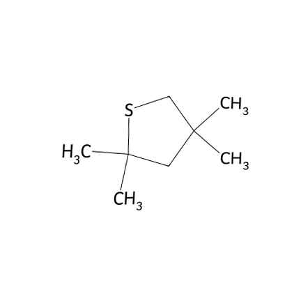 CC1(C)CSC(C)(C)C1